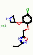 CCc1noc(COc2ccc(Cl)cc2OC2CNC2)n1.Cl